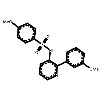 COc1ccc(S(=O)(=O)Nc2cccnc2-c2cccc(OC)c2)cc1